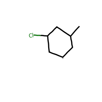 CC1C[CH]CC(Cl)C1